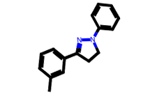 Cc1cccc(C2=NN(c3ccccc3)CC2)c1